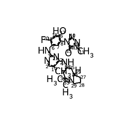 Cc1cnc(Nc2cc(-n3nnn(C)c3=O)c(O)cc2F)nc1N[C@@H]1C[C@@H]2CCCN2C(C)(C)C1